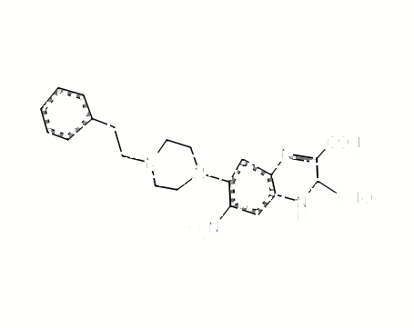 O=CC1Nc2cc([N+](=O)[O-])c(N3CCN(CCc4ccccc4)CC3)cc2N=C1C(=O)O